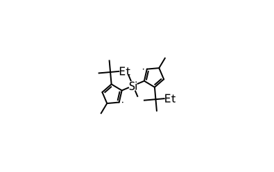 CCC(C)(C)C1=CC(C)[C]=C1[Si](C)(C)C1=[C]C(C)C=C1C(C)(C)CC